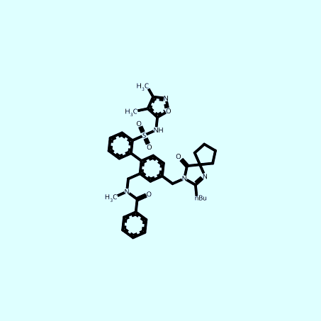 CCCCC1=NC2(CCCC2)C(=O)N1Cc1ccc(-c2ccccc2S(=O)(=O)Nc2onc(C)c2C)c(CN(C)C(=O)c2ccccc2)c1